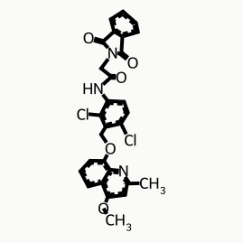 COc1cc(C)nc2c(OCc3c(Cl)ccc(NC(=O)CN4C(=O)c5ccccc5C4=O)c3Cl)cccc12